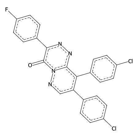 O=c1c(-c2ccc(F)cc2)nnc2c(-c3ccc(Cl)cc3)c(-c3ccc(Cl)cc3)cnn12